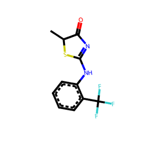 CC1SC(Nc2ccccc2C(F)(F)F)=NC1=O